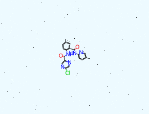 Cc1ccc(NC(=O)c2cc(C)ccc2NC(=O)c2cnc(Cl)cn2)nc1